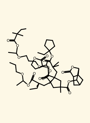 CCCOC(C)OC(=O)C(C)(CC)CC(C)(CC(C)(CC(C)(CC(C)(C)C(=O)OC1(CC)CCCC1)C(=O)OC1CCOC1=O)C(=O)OC1C2CC3C(=O)OC1C3C2)C(=O)OC(C)OCCCOC(C)OC(=O)C(C)(C)CC